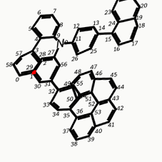 c1ccc(-c2ccccc2N(c2ccc(-c3cccc4ccccc34)cc2)c2cccc(-c3ccc(-c4cccc5ccc6ccc7ccccc7c6c45)cc3)c2)cc1